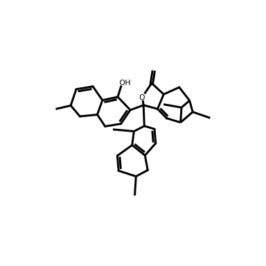 C=C1OC(C2=CCC3CC(C)C=CC3=C2O)(C2C=CC3=C(C=CC(C)C3)C2C)C2=CC3C(C)C(CC12)C3C